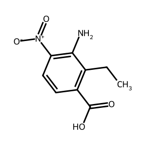 CCc1c(C(=O)O)ccc([N+](=O)[O-])c1N